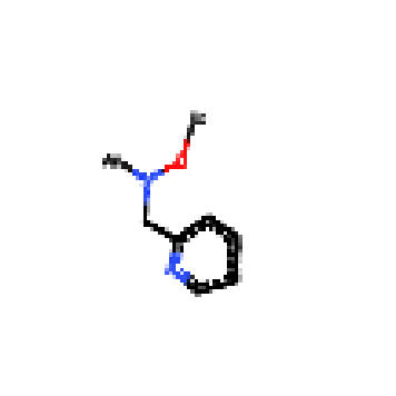 CCON(Cc1ccccn1)C(C)=O